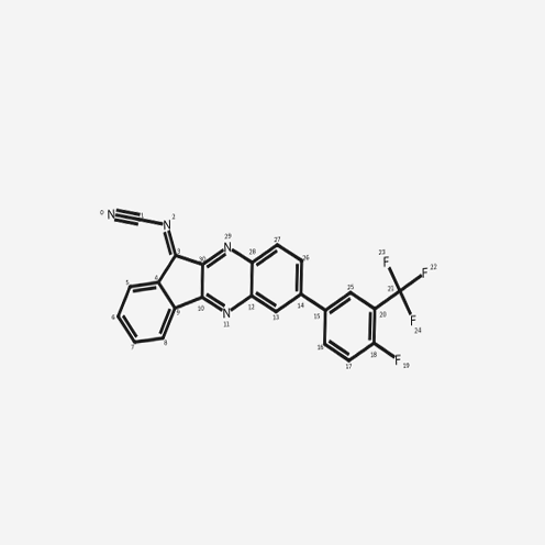 N#C/N=C1\c2ccccc2-c2nc3cc(-c4ccc(F)c(C(F)(F)F)c4)ccc3nc21